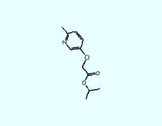 Cc1ccc(OCC(=O)OC(C)C)cn1